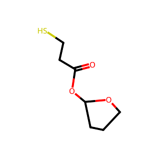 O=C(CCS)OC1CCCO1